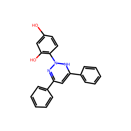 Oc1ccc(N2N=C(c3ccccc3)C=C(c3ccccc3)N2)c(O)c1